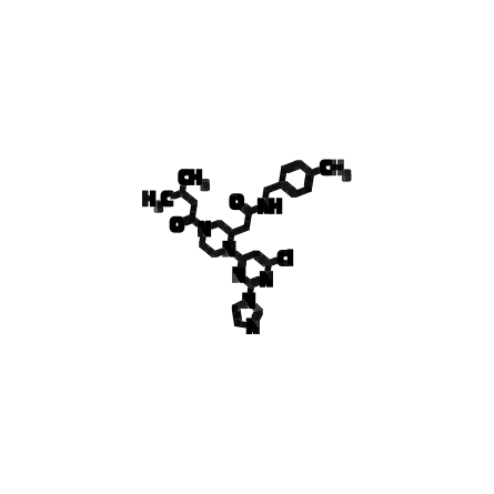 Cc1ccc(CNC(=O)CC2CN(C(=O)CC(C)C)CCN2c2cc(Cl)nc(-n3ccnc3)n2)cc1